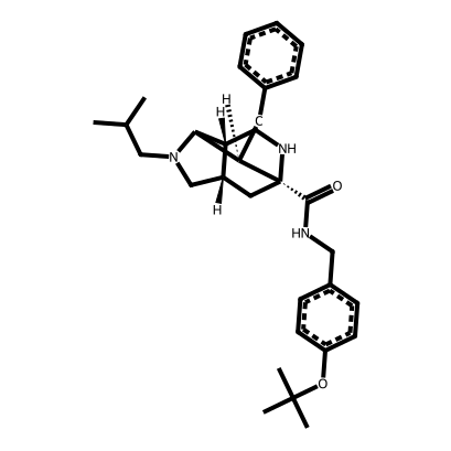 CC(C)CN1C[C@H]2C[C@]3(C(=O)NCc4ccc(OC(C)(C)C)cc4)NC[C@H]2C1[C@H]3Cc1ccccc1